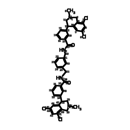 CN1Cc2c(Cl)cc(Cl)cc2C(c2cccc(C(=O)NCc3cccc(CNC(=O)c4cccc(C5CN(C)Cc6c(Cl)cc(Cl)cc65)c4)c3)c2)C1